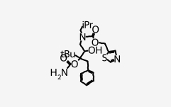 CC(C)CN(CC(O)C(Cc1ccccc1)(OC(N)=O)C(C)(C)C)C(=O)OCc1cncs1